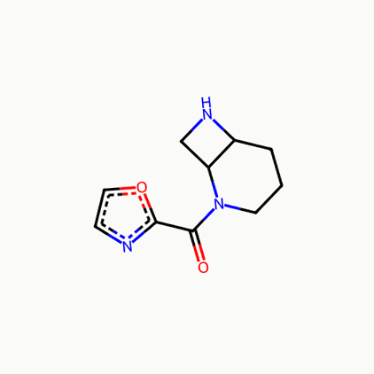 O=C(c1ncco1)N1CCCC2NCC21